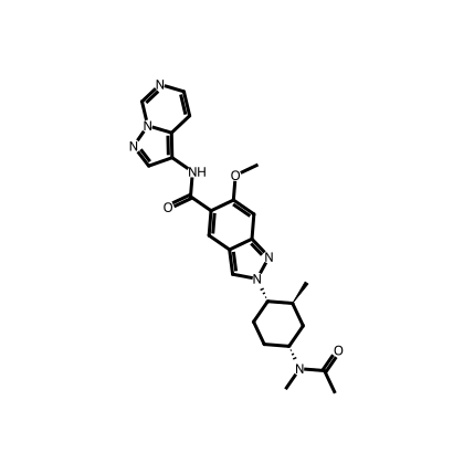 COc1cc2nn([C@H]3CC[C@@H](N(C)C(C)=O)C[C@@H]3C)cc2cc1C(=O)Nc1cnn2cnccc12